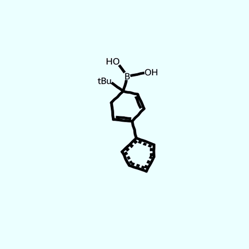 CC(C)(C)C1(B(O)O)C=CC(c2ccccc2)=CC1